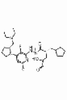 CCN(CC)C[C@@H]1CCCN1c1nc(Cl)nc(NNC(=O)[C@H](CC2CCCC2)CN(O)C=O)c1F